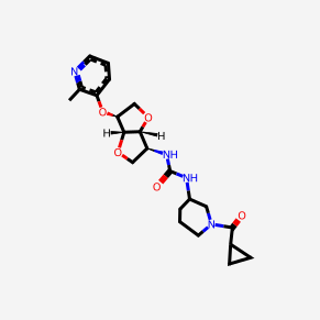 Cc1ncccc1O[C@H]1CO[C@H]2[C@@H]1OC[C@@H]2NC(=O)NC1CCCN(C(=O)C2CC2)C1